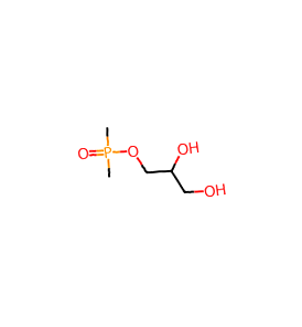 CP(C)(=O)OCC(O)CO